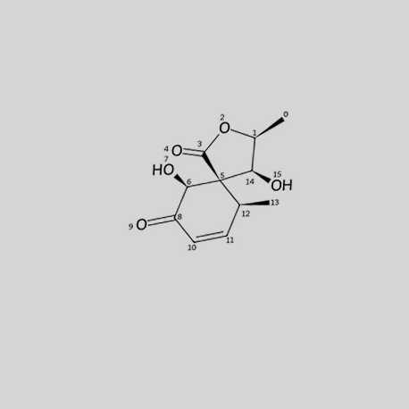 C[C@@H]1OC(=O)[C@@]2([C@H](O)C(=O)C=C[C@@H]2C)[C@@H]1O